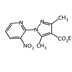 CCOC(=O)c1c(C)nn(-c2ncccc2[N+](=O)[O-])c1C